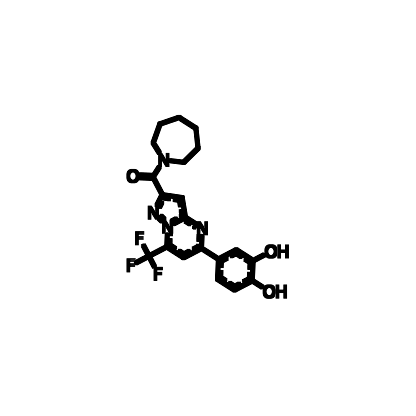 O=C(c1cc2nc(-c3ccc(O)c(O)c3)cc(C(F)(F)F)n2n1)N1CCCCCC1